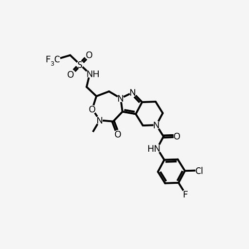 CN1OC(CNS(=O)(=O)CC(F)(F)F)Cn2nc3c(c2C1=O)CN(C(=O)Nc1ccc(F)c(Cl)c1)CC3